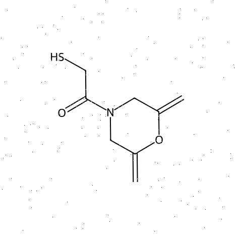 C=C1CN(C(=O)CS)CC(=C)O1